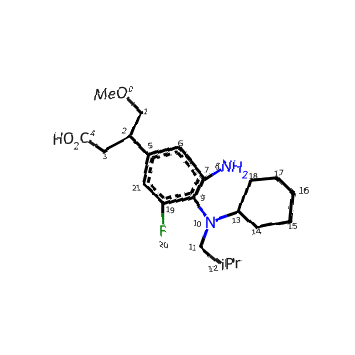 COCC(CC(=O)O)c1cc(N)c(N(CC(C)C)C2CCCCC2)c(F)c1